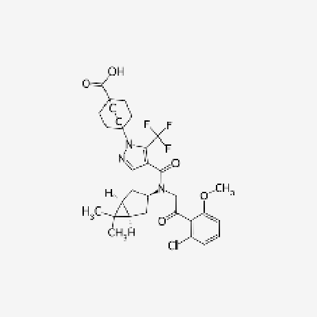 COc1cccc(Cl)c1C(=O)CN(C(=O)c1cnn(C23CCC(C(=O)O)(CC2)CC3)c1C(F)(F)F)[C@H]1C[C@@H]2[C@H](C1)C2(C)C